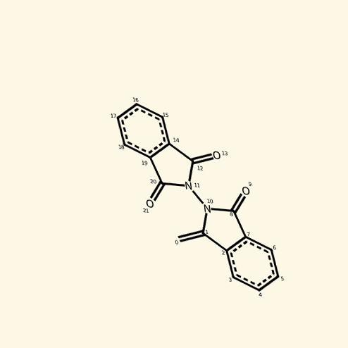 C=C1c2ccccc2C(=O)N1N1C(=O)c2ccccc2C1=O